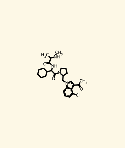 CNC(C)C(=O)NC(C(=O)N1CCCC1Cn1cc(C(C)=O)c2c(Cl)cccc21)C1CCCCC1